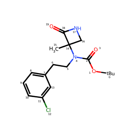 CC(C)(C)OC(=O)N(CCc1cccc(Cl)c1)C1(C)CNC1=O